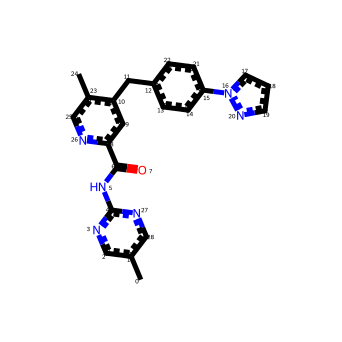 Cc1cnc(NC(=O)c2cc(Cc3ccc(-n4cccn4)cc3)c(C)cn2)nc1